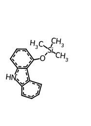 C[Si](C)(C)Oc1cccc2[nH]c3ccccc3c12